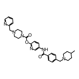 CC1CCN(Cc2ccc(C(=O)Nc3ccc(OC(=O)N4CCN(Cc5ccccn5)CC4)nc3)cc2)CC1